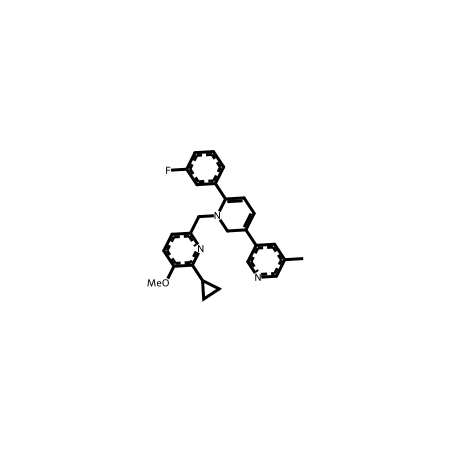 COc1ccc(CN2CC(c3cncc(C)c3)=CC=C2c2cccc(F)c2)nc1C1CC1